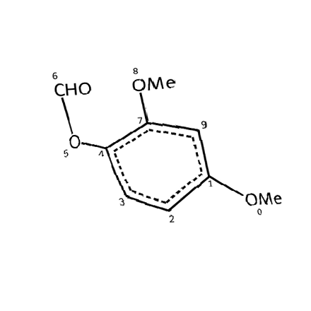 COc1ccc(OC=O)c(OC)c1